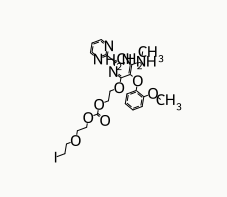 C=C(/N=C(OCCOC(=O)OCCOCCI)\C(Oc1ccccc1OC)=C(/N)NC)c1ncccn1